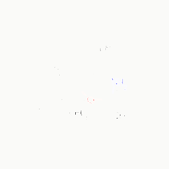 [CH2]C(N)OC12CC(C)CCC1C2(C)C